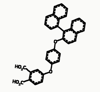 O=C(O)c1ccc(Oc2ccc(Oc3ccc4ccccc4c3-c3cccc4ccccc34)cc2)cc1C(=O)O